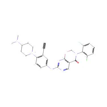 C#Cc1cc(Nc2ncc3c(n2)OCN(c2c(Cl)cccc2Cl)C3=O)ccc1N1CCC(N(C)C)CC1